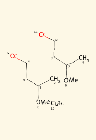 COC(C)CC[O-].COC(C)CC[O-].[Cu+2]